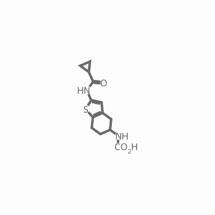 O=C(O)NC1CCc2sc(NC(=O)C3CC3)cc2C1